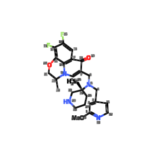 COc1cc(CN(Cc2cn3c4c(c(F)c(F)cc4c2=O)OCC3C)[C@]2([SiH3])CCCNC2)ccn1